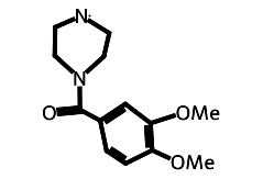 COc1ccc(C(=O)N2CC[N]CC2)cc1OC